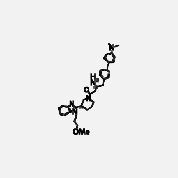 COCCCn1c([C@@H]2CCCN(C(=O)C[C@H](N)Cc3ccc(-c4ccc(N(C)C)cc4)cc3)C2)nc2ccccc21